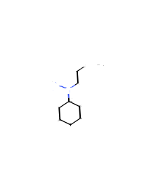 CCCCCCCCN(N)C1CCCCC1